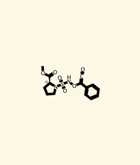 COC(=O)[C@@H]1CCCN1S(=O)(=O)NOC(=C=O)c1ccccc1